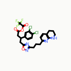 O=C(CC(Cc1nc(CCCc2ccc3c(n2)NCCC3)no1)c1ccc(Cl)c(Cl)c1)OC(=O)C(F)(F)F